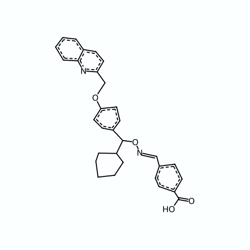 O=C(O)c1ccc(C=NOC(c2ccc(OCc3ccc4ccccc4n3)cc2)C2CCCCC2)cc1